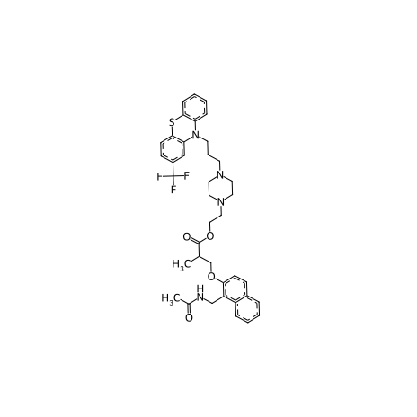 CC(=O)NCc1c(OCC(C)C(=O)OCCN2CCN(CCCN3c4ccccc4Sc4ccc(C(F)(F)F)cc43)CC2)ccc2ccccc12